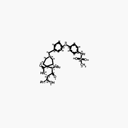 CCCCN1C(=O)[C@H]([C@@H](O)C(C)C)NC(=O)C12CCN(Cc1ccc(Oc3ccc(NS(C)(=O)=O)cc3)cc1)CC2